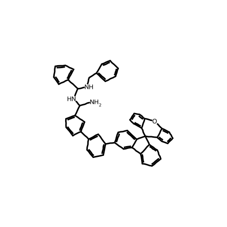 NC(NC(NCc1ccccc1)c1ccccc1)c1cccc(-c2cccc(-c3ccc4c(c3)-c3ccccc3C43c4ccccc4Oc4ccccc43)c2)c1